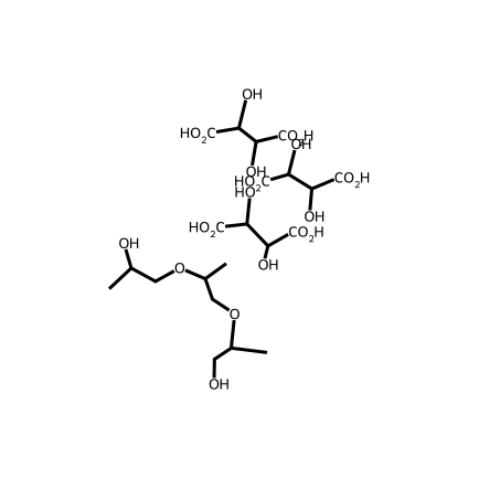 CC(O)COC(C)COC(C)CO.O=C(O)C(O)C(O)C(=O)O.O=C(O)C(O)C(O)C(=O)O.O=C(O)C(O)C(O)C(=O)O